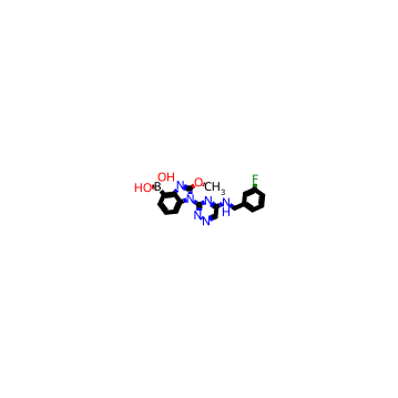 COc1nc2c(B(O)O)cccc2n1-c1nncc(NCc2cccc(F)c2)n1